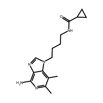 Cc1nc(N)c2ncn(CCCCNC(=O)C3CC3)c2c1C